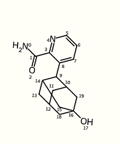 NC(=O)c1ncccc1C1C2CC3CC1CC(O)(C3)C2